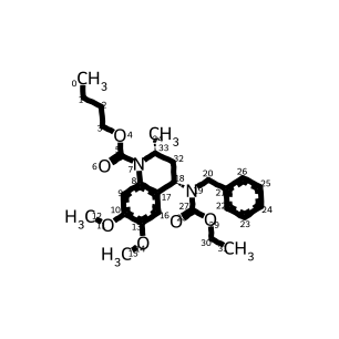 CCCCOC(=O)N1c2cc(OC)c(OC)cc2[C@@H](N(Cc2ccccc2)C(=O)OCC)C[C@H]1C